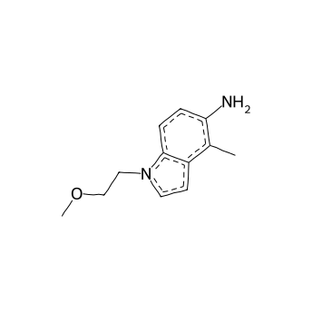 COCCn1ccc2c(C)c(N)ccc21